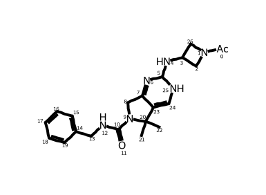 CC(=O)N1CC(NC2N=C3CN(C(=O)NCc4ccccc4)C(C)(C)C3=CN2)C1